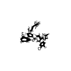 Cc1nc(C2CCN(C(=O)[C@@H]3C[C@@H](N(C)CCC(F)(F)F)C[C@H]3c3ccc(F)cc3F)CC2)n(-c2ccc(Cl)c(C)c2)n1